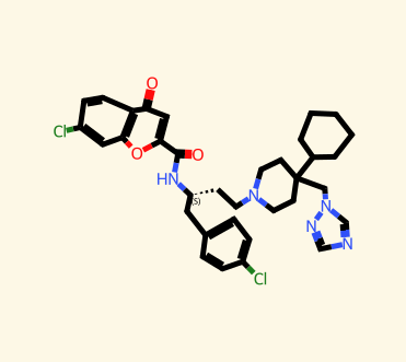 O=C(N[C@H](CCN1CCC(Cn2cncn2)(C2CCCCC2)CC1)Cc1ccc(Cl)cc1)c1cc(=O)c2ccc(Cl)cc2o1